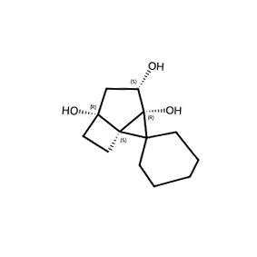 O[C@H]1C[C@]2(O)CC[C@]23C2(CCCCC2)[C@]13O